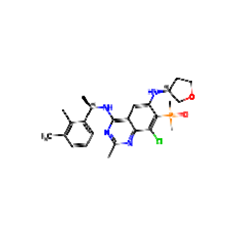 Cc1nc(N[C@H](C)c2cccc(C(F)(F)F)c2C)c2cc(N[C@H]3CCOC3)c(P(C)(C)=O)c(Cl)c2n1